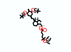 C=C1[C@H](O[Si](C)(C)C(C)(C)C)CC(=C/C=C2\CCC[C@]3(C)[C@@H]([C@H](C)OC(=O)CCCC(C)(C)O[Si](CC)(CC)CC)CC[C@@H]23)C[C@H]1O[Si](C)(C)C(C)(C)C